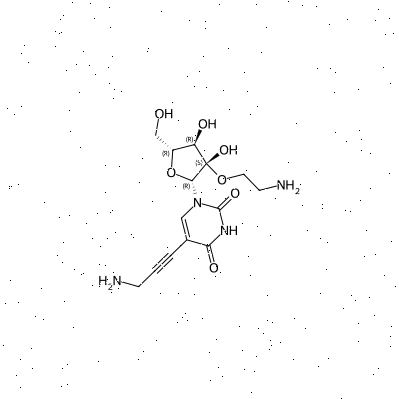 NCC#Cc1cn([C@@H]2O[C@H](CO)[C@@H](O)[C@]2(O)OCCN)c(=O)[nH]c1=O